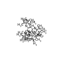 CN(C)P(=Nc1cc(N=P(N(C)C)(N(C)C)N(C)C)c(N=P(N(C)C)(N(C)C)N(C)C)c(N=P(N(C)C)(N(C)C)N(C)C)c1)(N(C)C)N(C)C